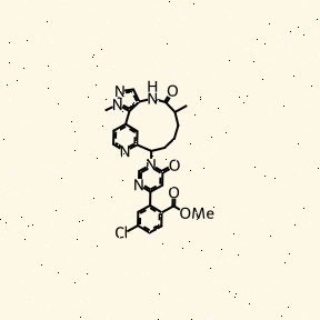 COC(=O)c1ccc(Cl)cc1-c1cc(=O)n(C2CCCC(C)C(=O)Nc3cnn(C)c3-c3ccnc2c3)cn1